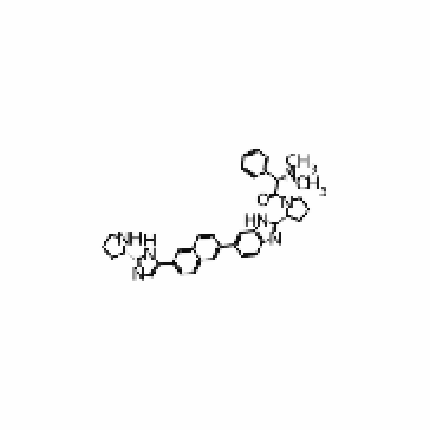 CN(C)[C@@H](C(=O)N1CCC[C@H]1c1nc2ccc(-c3ccc4cc(-c5cnc([C@@H]6CCCN6)[nH]5)ccc4c3)cc2[nH]1)c1ccccc1